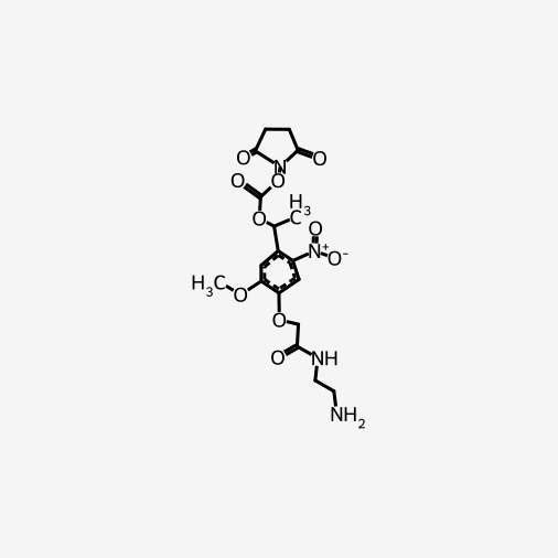 COc1cc(C(C)OC(=O)ON2C(=O)CCC2=O)c([N+](=O)[O-])cc1OCC(=O)NCCN